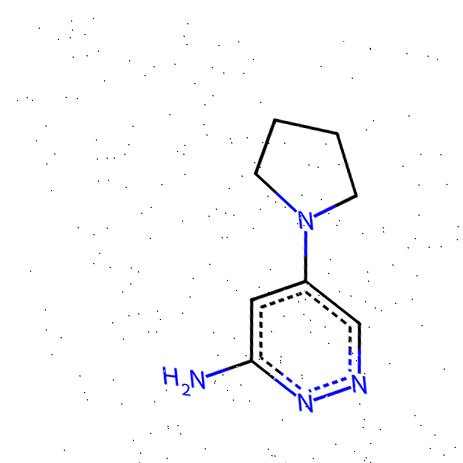 Nc1cc(N2CCCC2)cnn1